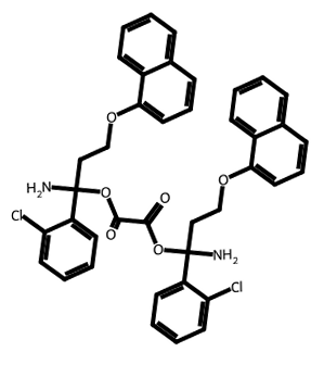 NC(CCOc1cccc2ccccc12)(OC(=O)C(=O)OC(N)(CCOc1cccc2ccccc12)c1ccccc1Cl)c1ccccc1Cl